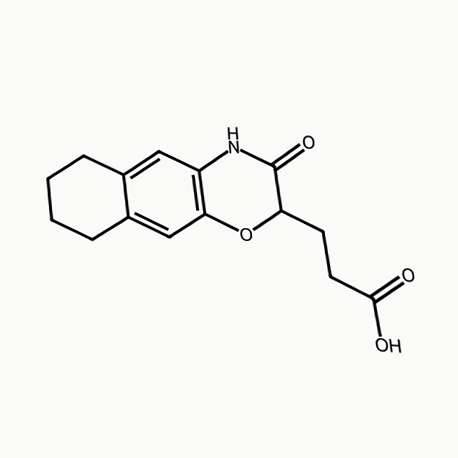 O=C(O)CCC1Oc2cc3c(cc2NC1=O)CCCC3